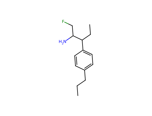 CCCc1ccc(C(CC)C(N)CF)cc1